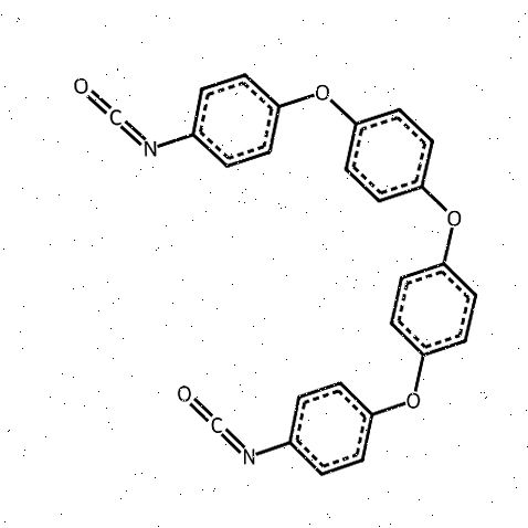 O=C=Nc1ccc(Oc2ccc(Oc3ccc(Oc4ccc(N=C=O)cc4)cc3)cc2)cc1